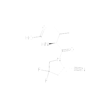 CC(C)[C@H](NC(=O)O)C(=O)N1CC(F)(F)C[C@H]1C#N